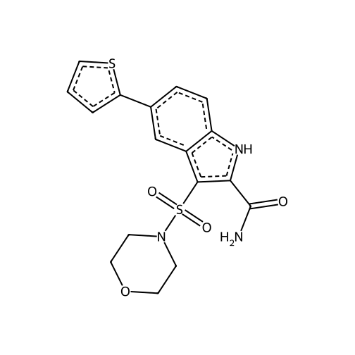 NC(=O)c1[nH]c2ccc(-c3cccs3)cc2c1S(=O)(=O)N1CCOCC1